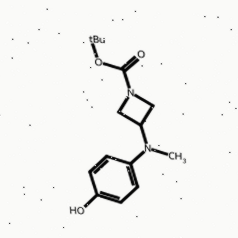 CN(c1ccc(O)cc1)C1CN(C(=O)OC(C)(C)C)C1